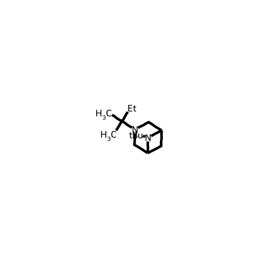 CCC(C)(C)N1CC2CC(C1)N2C(C)(C)C